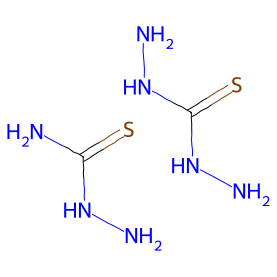 NNC(=S)NN.NNC(N)=S